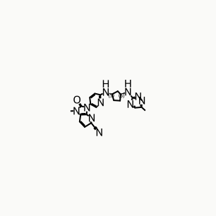 Cc1cnc(N[C@H]2CC[C@H](Nc3ccc(-n4c(=O)n(C)c5ccc(C#N)nc54)cn3)C2)nn1